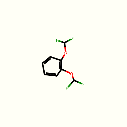 FC(F)Oc1[c]cccc1OC(F)F